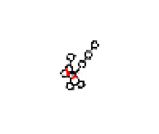 c1ccc(C2=NC(c3cccc4oc5cccc(-c6ccc7cc(-c8ccccc8)ccc7c6)c5c34)NC(c3ccc(-c4ccc(-c5ccccc5)cc4)cc3)=N2)cc1